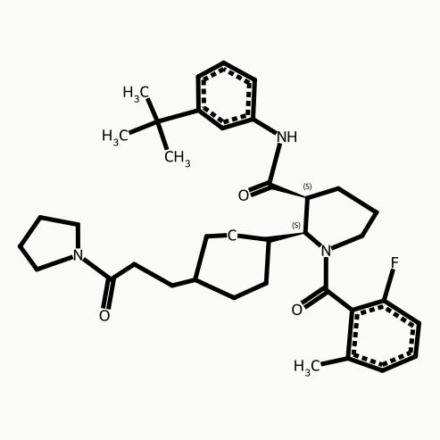 Cc1cccc(F)c1C(=O)N1CCC[C@H](C(=O)Nc2cccc(C(C)(C)C)c2)[C@@H]1C1CCC(CCC(=O)N2CCCC2)CC1